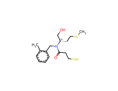 CSCC[C@@H](CO)N(Cc1ccccc1C)C(=O)CCS